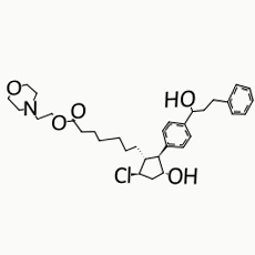 O=C(CCCCCC[C@@H]1[C@@H](c2ccc(C(O)CCc3ccccc3)cc2)[C@H](O)C[C@H]1Cl)OCCN1CCOCC1